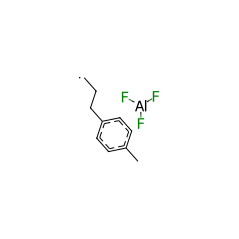 [CH2]CCc1ccc(C)cc1.[F][Al]([F])[F]